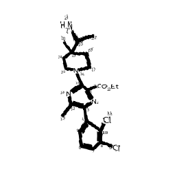 CCOC(=O)c1nc(-c2cccc(Cl)c2Cl)c(C)nc1N1CCC(C)(C(C)N)CC1